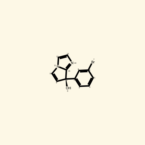 O[C@@]1(c2cccc(Br)c2)C=Cn2ccnc21